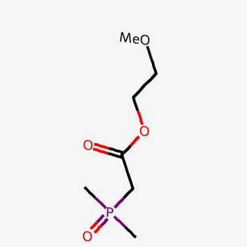 COCCOC(=O)CP(C)(C)=O